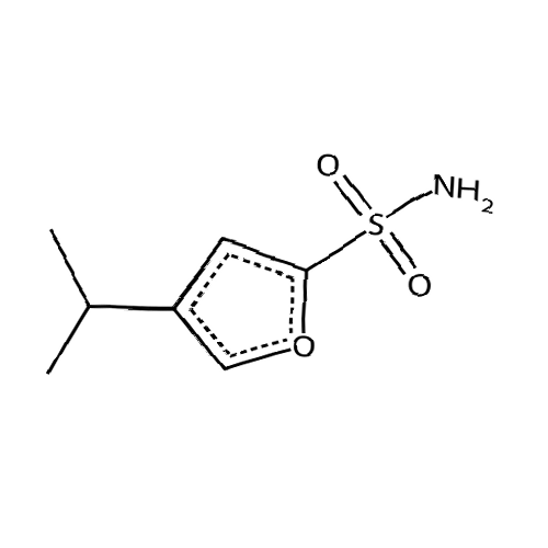 CC(C)c1coc(S(N)(=O)=O)c1